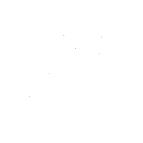 Cc1cccc(C)c1Nc1nn(C)c2nc(Nc3ccc4c(c3)CN(C(=O)C3CCN(C(=O)OC(C)(C)C)CC3)CC4)ncc12